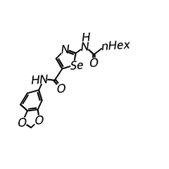 CCCCCCC(=O)Nc1ncc(C(=O)Nc2ccc3c(c2)OCO3)[se]1